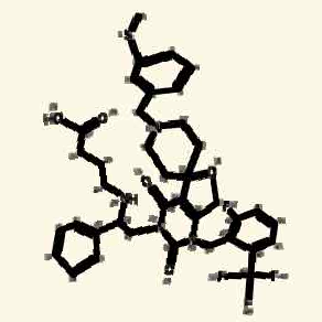 CSc1cccc(CN2CCC3(CC2)OCc2c3c(=O)n(CC(NCCCC(=O)O)c3ccccc3)c(=O)n2Cc2c(F)cccc2C(F)(F)F)c1